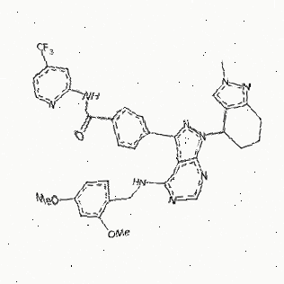 COc1ccc(CNc2ncnc3c2c(-c2ccc(C(=O)Nc4cc(C(F)(F)F)ccn4)cc2)nn3C2CCCc3nn(C)cc32)c(OC)c1